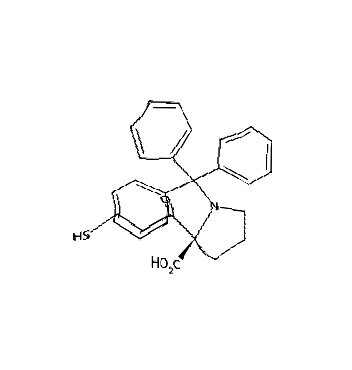 O=C(O)[C@]1(C(=O)CCS)CCCN1C(c1ccccc1)(c1ccccc1)c1ccccc1